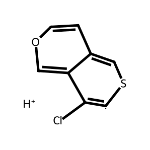 ClC1=[C]SC=C2C=COC=C12.[H+]